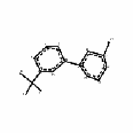 CC(C)(C)c1cccc(-c2cccc(F)c2)c1